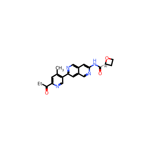 CCC(=O)c1cc(C)c(-c2cc3cnc(NC(=O)[C@H]4CCO4)cc3cn2)cn1